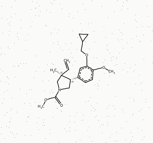 C=C[C@]1(C)CN(C(=O)OC)C[C@H]1c1ccc(OC)c(OCC2CC2)c1